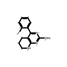 CSc1nc2c(c(-c3ccccc3F)n1)CCCN2